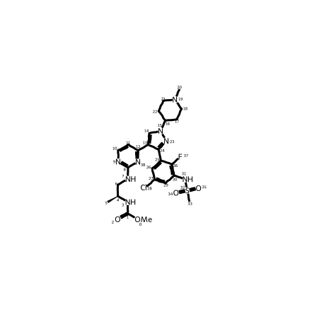 COC(=O)N[C@@H](C)CNc1nccc(-c2cn(C3CCN(C)CC3)nc2-c2cc(Cl)cc(NS(C)(=O)=O)c2F)n1